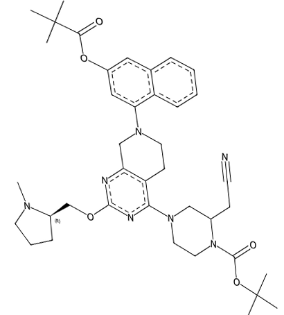 CN1CCC[C@@H]1COc1nc2c(c(N3CCN(C(=O)OC(C)(C)C)C(CC#N)C3)n1)CCN(c1cc(OC(=O)C(C)(C)C)cc3ccccc13)C2